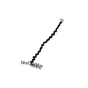 CO[Si](CCCCCCCCCCCCCCCCCCCCCCCCCCCCCCBr)(OC)OC